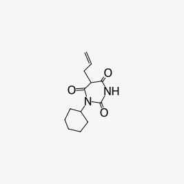 C=CCC1C(=O)NC(=O)N(C2CCCCC2)C1=O